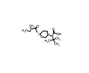 CCN(C)C(=O)C[C@@H]1CC[C@@H](N(C(=O)O)C(C)(C)C)CO1